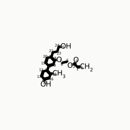 C=CC(=O)OCCOc1cc(-c2ccc(O)cc2C)ccc1CCCO